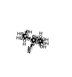 [N-]=[N+]=NCCO[C@H]1O[C@H](CO[C@H]2O[C@H](CO)[C@@H](O)[C@H](O)[C@@H]2O)[C@@H](O)[C@H](O[C@H]2O[C@H](CO)[C@@H](O)[C@H](O)[C@@H]2O)[C@@H]1O